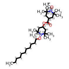 CCCCCCCCCCCON1C(C)(C)CC(OC(=O)C2CC(C)(C)N(OC)C(C)(C)C2)CC1(C)C